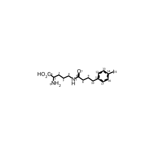 NC(CCCNC(=O)CCCc1ccc(I)cc1)C(=O)O